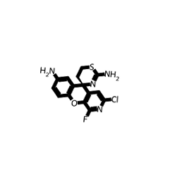 NC1=N[C@@]2(CCS1)c1cc(N)ccc1Oc1c2cc(Cl)nc1F